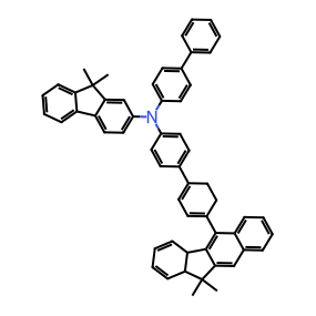 CC1(C)c2ccccc2-c2ccc(N(c3ccc(C4=CC=C(c5c6c(cc7ccccc57)C(C)(C)C5C=CC=CC65)CC4)cc3)c3ccc(-c4ccccc4)cc3)cc21